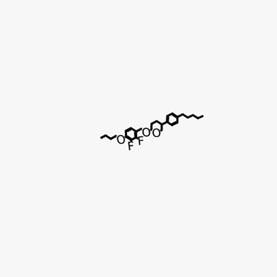 CCCCCc1ccc(C2CCC(OCc3ccc(OCCCC)c(F)c3F)OC2)cc1